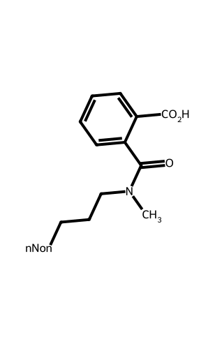 CCCCCCCCCCCCN(C)C(=O)c1ccccc1C(=O)O